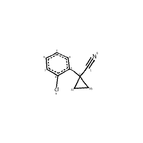 N#CC1(c2ccccc2Cl)CC1